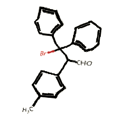 Cc1ccc(C(C=O)C(Br)(c2ccccc2)c2ccccc2)cc1